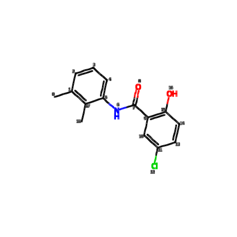 Cc1cccc(NC(=O)c2cc(Cl)ccc2O)c1C